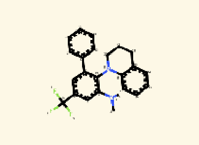 CN(C)c1cc(C(F)(F)F)cc(-c2ccccc2)c1N1CCCc2ccccc21